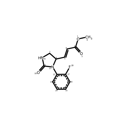 COC(=O)C=CC1CNC(=O)N1c1ccccc1F